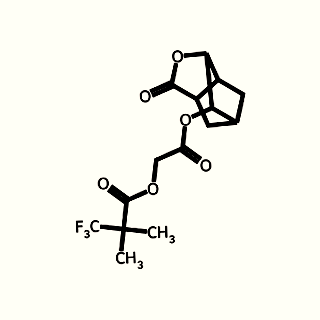 CC(C)(C(=O)OCC(=O)OC1C2CC3C(=O)OC1C3C2)C(F)(F)F